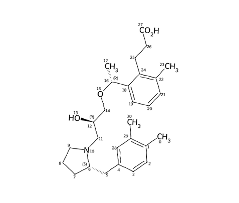 Cc1ccc(C[C@@H]2CCCN2C[C@@H](O)CO[C@H](C)c2cccc(C)c2CCC(=O)O)cc1C